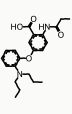 CCCN(CCC)c1ccccc1Oc1ccc(NC(=O)CC)c(C(=O)O)c1